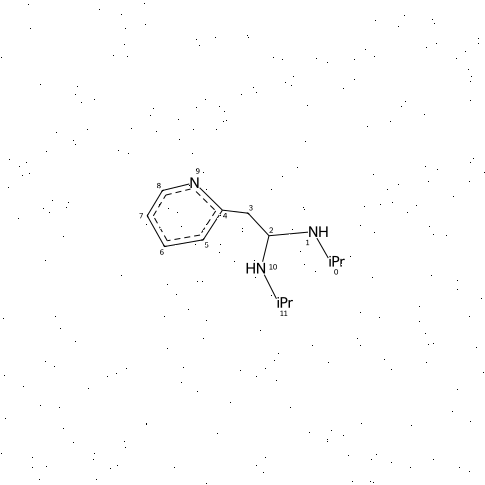 CC(C)NC(Cc1ccccn1)NC(C)C